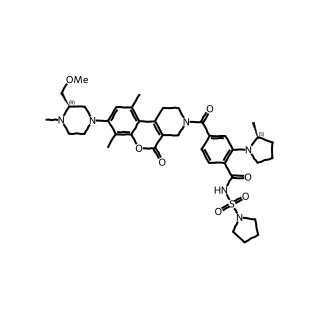 COC[C@H]1CN(c2cc(C)c3c4c(c(=O)oc3c2C)CN(C(=O)c2ccc(C(=O)NS(=O)(=O)N3CCCC3)c(N3CCC[C@@H]3C)c2)CC4)CCN1C